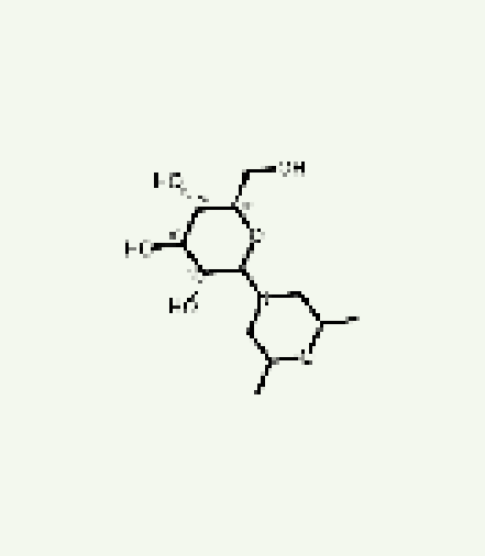 CC1CN(C2O[C@H](CO)[C@@H](O)[C@H](O)[C@H]2O)CC(C)O1